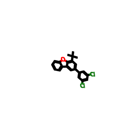 CC(C)(C)c1cc(-c2cc(Cl)cc(Cl)c2)cc2c1oc1ccccc12